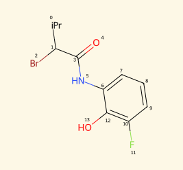 CC(C)C(Br)C(=O)Nc1cccc(F)c1O